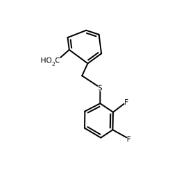 O=C(O)c1ccccc1CSc1cccc(F)c1F